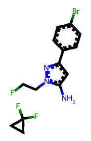 FC1(F)CC1.Nc1cc(-c2ccc(Br)cc2)nn1CCF